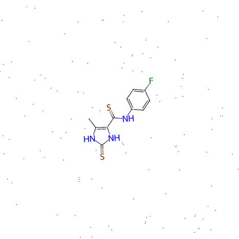 Cc1[nH]c(=S)[nH]c1C(=S)Nc1ccc(F)cc1